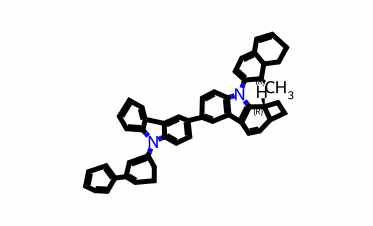 C[C@H]1C(n2c3c(c4cc(-c5ccc6c(c5)c5ccccc5n6C5=CC(c6ccccc6)=CCC5)ccc42)C=CC2CC[C@@H]32)=CC=C2C=CCCC21